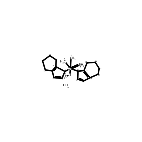 C[O][Zr]([CH3])([CH3])(=[SiH2])([CH]1C=CC2=C1CCCC2)[CH]1C=CC2=C1CCCC2.Cl